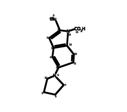 CC(C)(C)c1cc2cc(N3CCCC3)ccc2n1C(=O)O